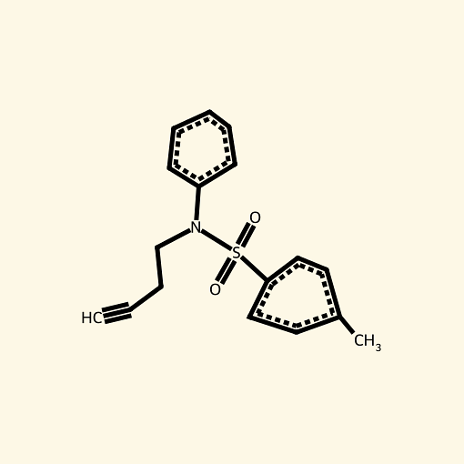 C#CCCN(c1ccccc1)S(=O)(=O)c1ccc(C)cc1